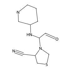 N#CC1CSCN1C(C=O)NC1CCC[N]C1